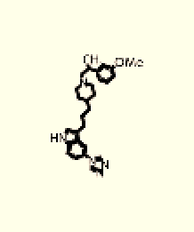 COc1cccc(C(C)CN2CCC(CCCc3c[nH]c4ccc(-n5cnnc5)cc34)CC2)c1